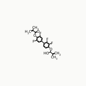 C=C(C)C(=O)Oc1c(F)cc(-c2ccc(OC(O)C(=C)C)c(F)c2F)cc1F